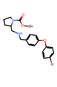 CC(C)(C)OC(=O)N1CCCC1CNCc1ccc(Oc2ccc(Br)cc2)cc1